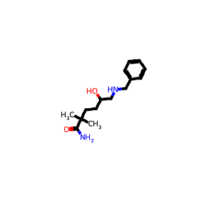 CC(C)(CCC(O)CNCc1ccccc1)C(N)=O